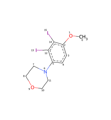 COc1ccc(N2CCOCC2)c(I)c1I